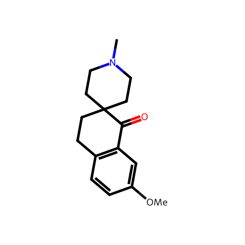 COc1ccc2c(c1)C(=O)C1(CC2)CCN(C)CC1